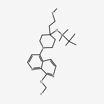 CSCCC1(O[Si](C)(C)C(C)(C)C)CCN(c2ccnc3c(OCF)nccc23)CC1